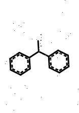 [C]C(c1ccccc1)c1ccccc1